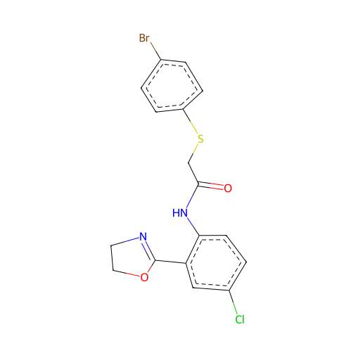 O=C(CSc1ccc(Br)cc1)Nc1ccc(Cl)cc1C1=NCCO1